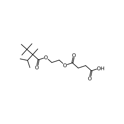 CC(C)C(C)(C(=O)OCCOC(=O)CCC(=O)O)C(C)(C)C